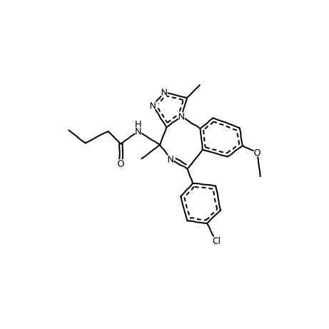 CCCC(=O)NC1(C)N=C(c2ccc(Cl)cc2)c2cc(OC)ccc2-n2c(C)nnc21